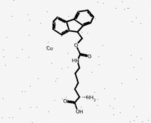 N[C@@H](CCCCNC(=O)OCC1c2ccccc2-c2ccccc21)C(=O)O.[Cu]